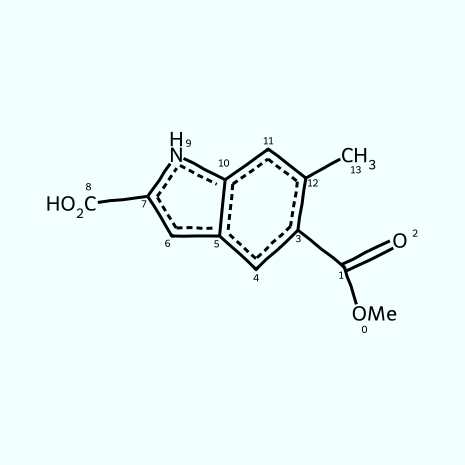 COC(=O)c1cc2cc(C(=O)O)[nH]c2cc1C